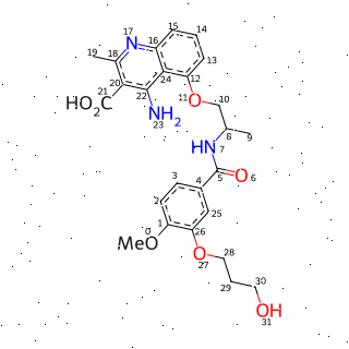 COc1ccc(C(=O)NC(C)COc2cccc3nc(C)c(C(=O)O)c(N)c23)cc1OCCCO